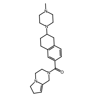 CN1CCN(C2CCc3cc(C(=O)N4CCN5CCC=C5C4)ccc3C2)CC1